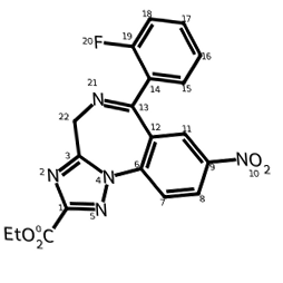 CCOC(=O)c1nc2n(n1)-c1ccc([N+](=O)[O-])cc1C(c1ccccc1F)=NC2